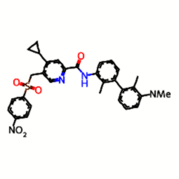 CNc1cccc(-c2cccc(NC(=O)c3cc(C4CC4)c(CS(=O)(=O)c4ccc([N+](=O)[O-])cc4)cn3)c2C)c1C